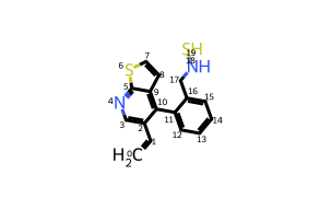 C=Cc1cnc2sccc2c1-c1ccccc1CNS